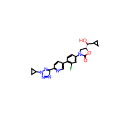 O=C1O[C@@H](C(O)C2CC2)CN1c1ccc(-c2ccc(-c3nnn(C4CC4)n3)nc2)c(F)c1